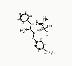 N[C@H](CCc1ccc(S(=O)(=O)O)cc1)Cc1ccccc1.O=C(O)C(F)(F)F